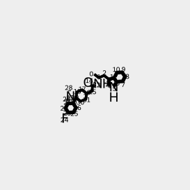 CC(Cc1c[nH]c2ccccc12)NC(=O)CC1CCC(c2ccc(F)cc2)(N(C)C)CC1